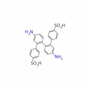 Nc1ccc(-c2ccc(N)cc2-c2ccc(S(=O)(=O)O)cc2)c(-c2ccc(S(=O)(=O)O)cc2)c1